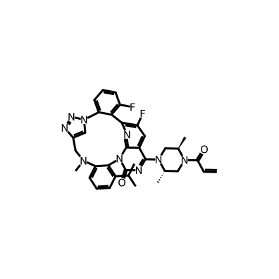 C=CC(=O)N1C[C@H](C)N(c2nc(=O)n3c4nc(c(F)cc24)-c2c(F)cccc2-n2cc(nn2)CN(C)c2cccc(C(C)C)c2-3)C[C@H]1C